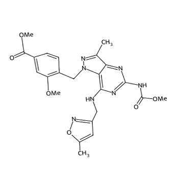 COC(=O)Nc1nc(NCc2cc(C)on2)c2c(n1)c(C)nn2Cc1ccc(C(=O)OC)cc1OC